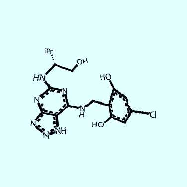 CC(C)[C@H](CO)Nc1nc(NCc2c(O)cc(Cl)cc2O)c2[nH]nnc2n1